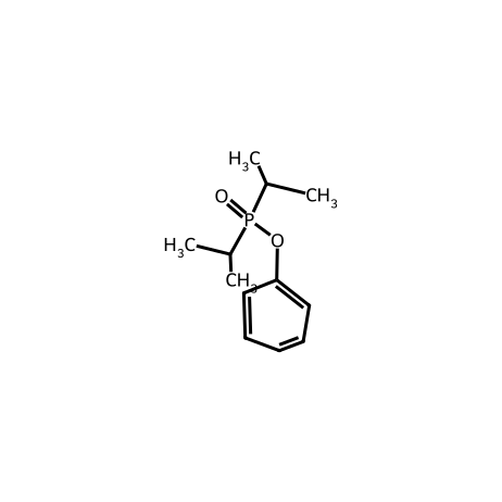 CC(C)P(=O)(Oc1ccccc1)C(C)C